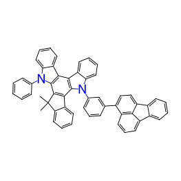 CC1(C)c2ccccc2-c2c1c1c(c3ccccc3n1-c1ccccc1)c1c3ccccc3n(-c3cccc(-c4ccc5c6c(cccc46)-c4ccccc4-5)c3)c21